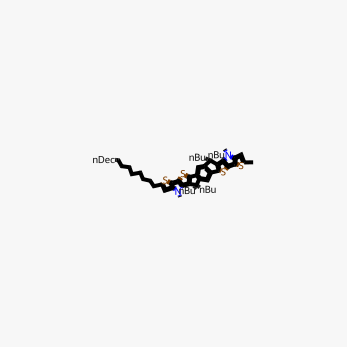 CCCCCCCCCCCCCCCCCCc1cc2c(s1)c1sc3c(c1n2C)C(CCCC)(CCCC)c1cc2c(cc1-3)C(CCCC)(CCCC)c1c-2sc2c3sc(C)cc3n(C)c12